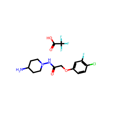 NC1CCN(NC(=O)COc2ccc(Cl)c(F)c2)CC1.O=C(O)C(F)(F)F